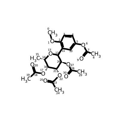 COc1ccc(OC(C)=O)cc1C1O[C@@H](C)[C@@H](OC(C)=O)[C@@H](OC(C)=O)[C@@H]1OC(C)=O